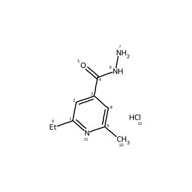 CCc1cc(C(=O)NN)cc(C)n1.Cl